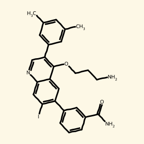 Cc1cc(C)cc(-c2cnc3cc(I)c(-c4cccc(C(N)=O)c4)cc3c2OCCCN)c1